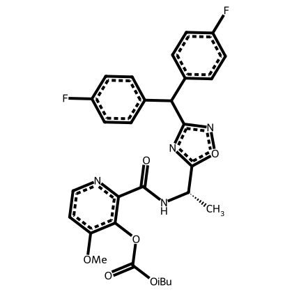 COc1ccnc(C(=O)N[C@@H](C)c2nc(C(c3ccc(F)cc3)c3ccc(F)cc3)no2)c1OC(=O)OCC(C)C